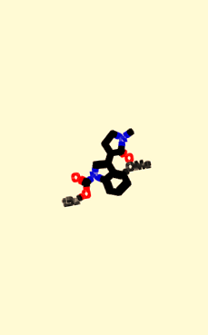 COc1cccc2c1c(C1CCN(C)C1=O)cn2C(=O)OC(C)(C)C